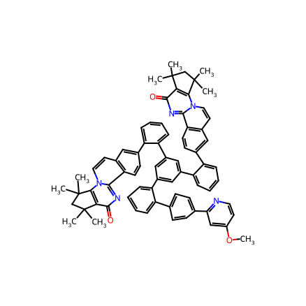 COc1ccnc(-c2ccc(-c3ccccc3-c3cc(-c4ccccc4-c4ccc5c(ccn6c7c(c(=O)nc56)C(C)(C)CC7(C)C)c4)cc(-c4ccccc4-c4ccc5c(ccn6c7c(c(=O)nc56)C(C)(C)CC7(C)C)c4)c3)cc2)c1